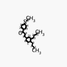 CCCCc1ccc(C=CC(=O)c2ccc(SCC)cc2)cc1CCCC